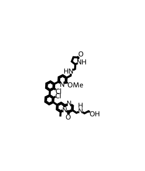 COc1nc(-c2cccc(-c3cccc(-c4cc(C)n5c(=O)c(CNCCO)cnc5c4)c3Cl)c2Cl)ccc1CNCC1CCC(=O)N1